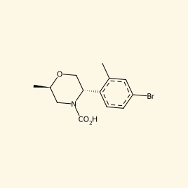 Cc1cc(Br)ccc1[C@H]1CO[C@H](C)CN1C(=O)O